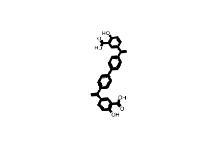 C=C(c1ccc(-c2ccc(C(=C)c3ccc(O)c(C(=O)O)c3)cc2)cc1)c1ccc(O)c(C(=O)O)c1